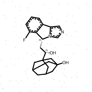 O[C@@H](C[C@@H]1c2c(F)cccc2-c2cncn21)C12CC3CC(CC(O)(C3)C1)C2